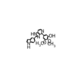 COc1cc(-c2nccc3[nH]c(-c4ccc5[nH]ccc5c4)nc23)cc(O)c1OC